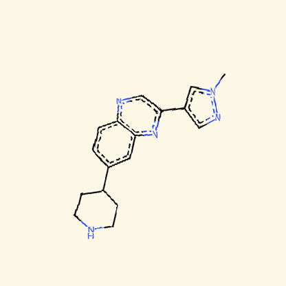 Cn1cc(-c2cnc3ccc(C4CCNCC4)cc3n2)cn1